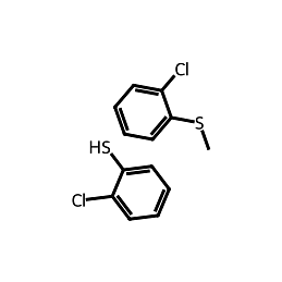 CSc1ccccc1Cl.Sc1ccccc1Cl